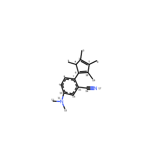 CC1=C(C)C(C)C(c2ccc(N(C)C)cc2C#N)=C1C